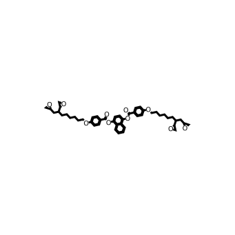 O=C(Oc1ccc(OC(=O)c2ccc(OCCCCCCC(CC3CO3)C3CO3)cc2)c2ccccc12)c1ccc(OCCCCCCC(CC2CO2)C2CO2)cc1